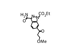 CCOC(=O)Cn1nc(C(N)=O)c2ccc(C(=O)CCOC)cc21